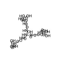 CNC(CCC(=O)NCCOCCOCCOC1OC(CO)CC(O)C1NC(C)=O)(CCC(=O)NCCOCCOCCOC1OC(CO)C(O)C(O)C1NC(C)=O)CCC(=O)NCCOCCOCCOC1OC(CO)C(O)C(O)C1NC(C)=O